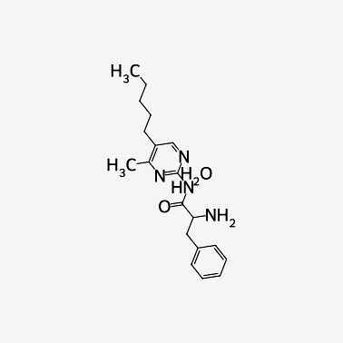 CCCCCc1cnc(NC(=O)C(N)Cc2ccccc2)nc1C.O